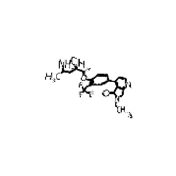 CCN1Cc2nccc(-c3ccc(OCC(C)CC(C)N)c(C(F)(F)F)c3)c2C1=O